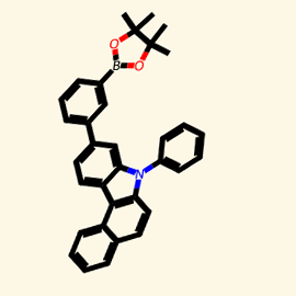 CC1(C)OB(c2cccc(-c3ccc4c5c6ccccc6ccc5n(-c5ccccc5)c4c3)c2)OC1(C)C